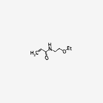 C=CC(=O)NCCOCC